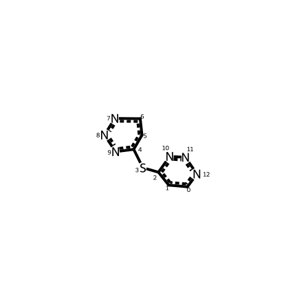 c1cc(Sc2ccnnn2)nnn1